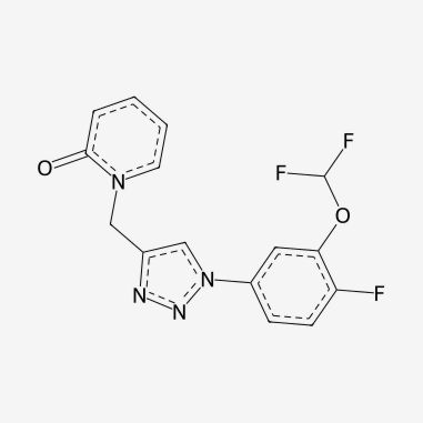 O=c1ccccn1Cc1cn(-c2ccc(F)c(OC(F)F)c2)nn1